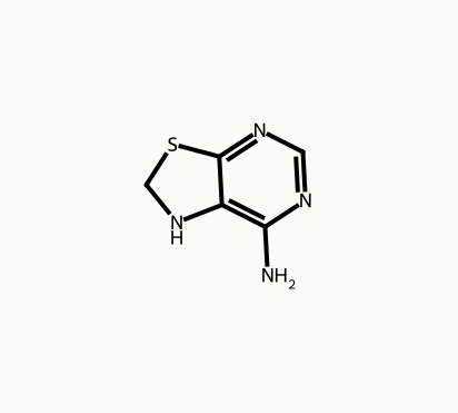 Nc1ncnc2c1NCS2